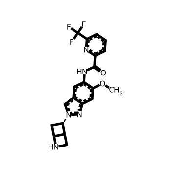 COc1cc2nn([C@H]3CC4NCC43)cc2cc1NC(=O)c1cccc(C(F)(F)F)n1